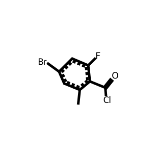 Cc1cc(Br)cc(F)c1C(=O)Cl